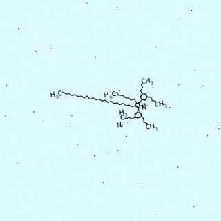 CCCCCCCCCCCCCCCCCCCCCCCCCC1=C(c2cc(CCCC)cc(CCCC)c2)[N+](=[N-])C(c2cc(CCCC)cc(CCCC)c2)=C1CCCCCCCC.[Ni]